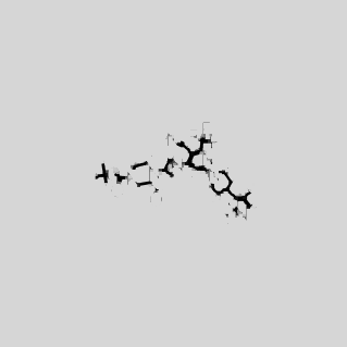 COC[C@H]1CN(C(=O)OC(C)(C)C)CCN1C1CN(c2cc(N3CCC(c4c(C)cnn4C)CC3)nc(C(F)(F)F)c2C#N)C1